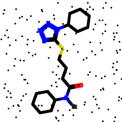 CCN(C(=O)CCCSc1nnnn1C1CCCCC1)C1CCCCC1